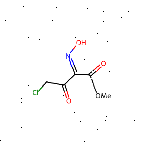 COC(=O)/C(=N\O)C(=O)CCl